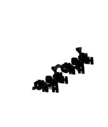 Cc1ccn2cc([C@@H](C)C(=O)Nc3cc(C4CC4Cc4ccc5nc(C(C)C(=O)Nc6cc(C7CC7)n[nH]6)cn5c4)n[nH]3)nc2c1